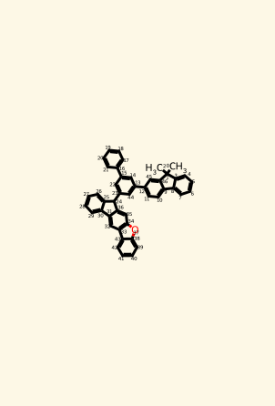 CC1(C)c2ccccc2-c2ccc(-c3cc(-c4ccccc4)cc(C4c5ccccc5-c5cc6c(cc54)oc4ccccc46)c3)cc21